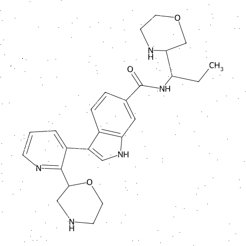 CCC(NC(=O)c1ccc2c(-c3cccnc3C3CNCCO3)c[nH]c2c1)C1COCCN1